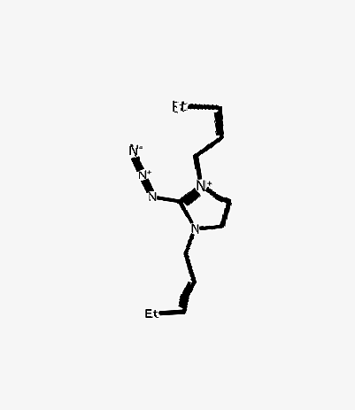 CC/C=C\CN1CC[N+](C/C=C\CC)=C1N=[N+]=[N-]